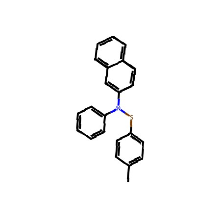 Cc1ccc(SN(c2ccccc2)c2ccc3ccccc3c2)cc1